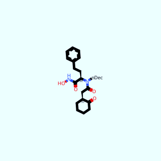 CCCCCCCCCCN(C(=O)C[C@@H]1CCCCC1=O)[C@H](CCc1ccccc1)C(=O)NO